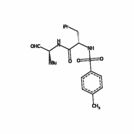 CCCC[C@@H](C=O)NC(=O)[C@H](CC(C)C)NS(=O)(=O)c1ccc(C)cc1